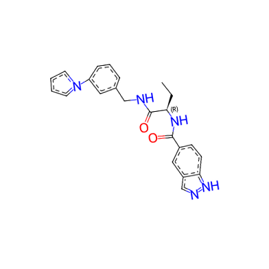 CC[C@@H](NC(=O)c1ccc2[nH]ncc2c1)C(=O)NCc1cccc(-n2cccc2)c1